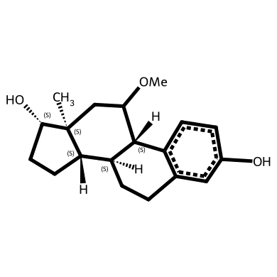 COC1C[C@]2(C)[C@@H](O)CC[C@H]2[C@@H]2CCc3cc(O)ccc3[C@@H]12